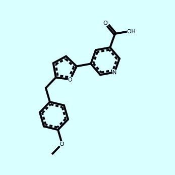 COc1ccc(Cc2ccc(-c3cncc(C(=O)O)c3)o2)cc1